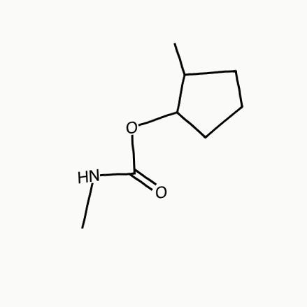 CNC(=O)OC1CCCC1C